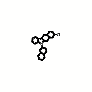 Clc1ccc2cc3c4ccccc4n(-c4ccc5ccccc5c4)c3cc2c1